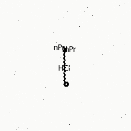 CCCN(CCC)CCCCCCCCCCCCCCCCCc1ccccc1.Cl